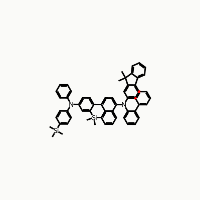 CC1(C)c2ccccc2-c2ccc(N(c3ccccc3-c3ccccc3)c3ccc4c5c(cccc35)[Si](C)(C)c3cc(N(c5ccccc5)c5ccc([Si](C)(C)C)cc5)ccc3-4)cc21